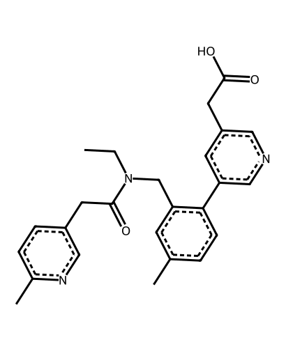 CCN(Cc1cc(C)ccc1-c1cncc(CC(=O)O)c1)C(=O)Cc1ccc(C)nc1